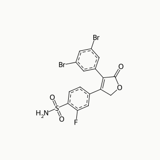 NS(=O)(=O)c1ccc(C2=C(c3cc(Br)cc(Br)c3)C(=O)OC2)cc1F